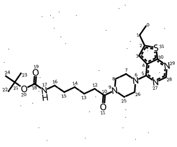 CCc1cc2c(N3CCN(C(=O)CCCCCNC(=O)OC(C)(C)C)CC3)ncnc2s1